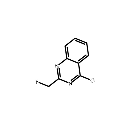 FCc1nc(Cl)c2ccccc2n1